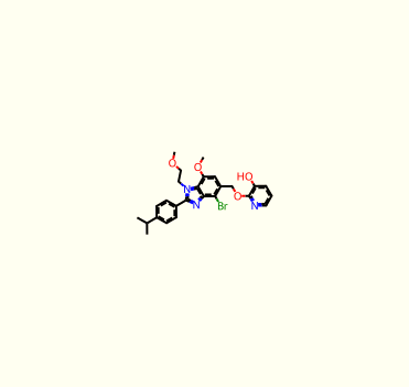 COCCn1c(-c2ccc(C(C)C)cc2)nc2c(Br)c(COc3ncccc3O)cc(OC)c21